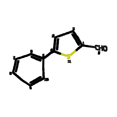 O=Cc1ccc(-c2c[c]ccc2)s1